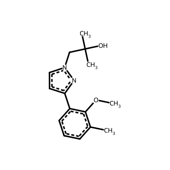 COc1c(C)cccc1-c1ccn(CC(C)(C)O)n1